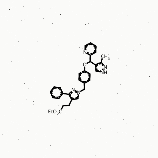 CCOC(=O)CCc1cn(Cc2ccc(OC(c3ccccn3)c3c[nH]nc3C)cc2)nc1-c1ccccc1